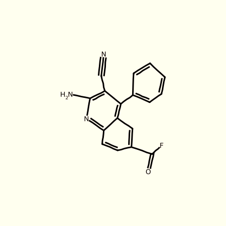 N#Cc1c(N)nc2ccc(C(=O)F)cc2c1-c1ccccc1